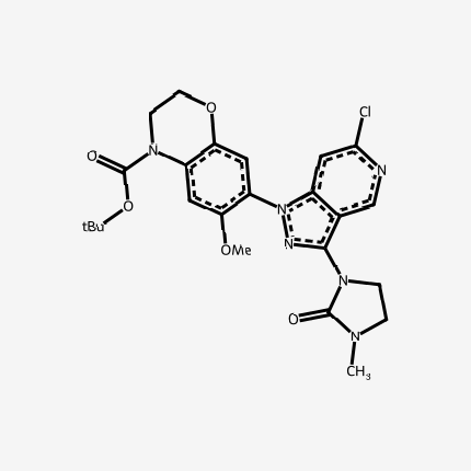 COc1cc2c(cc1-n1nc(N3CCN(C)C3=O)c3cnc(Cl)cc31)OCCN2C(=O)OC(C)(C)C